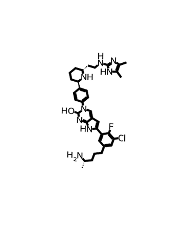 Cc1nc(NCC[C@H]2CCC[C@H](c3ccc(N4C=c5cc(-c6cc(CCC[C@H](C)N)cc(Cl)c6F)[nH]c5=NC4O)cc3)N2)[nH]c1C